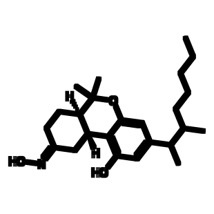 CCCCCC(C)C(C)c1cc(O)c2c(c1)OC(C)(C)[C@@H]1CCC(=NO)C[C@@H]21